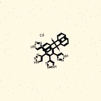 IC(c1ccccc1)(c1ccccc1)C(I)(c1ccccc1)c1cc(-c2c[nH]nn2)c(-c2c[nH]nn2)c(-c2c[nH]nn2)c1-c1c[nH]nn1.[Cd]